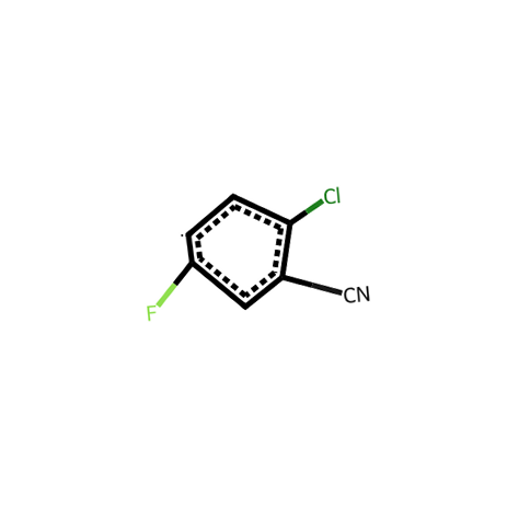 N#Cc1cc(F)[c]cc1Cl